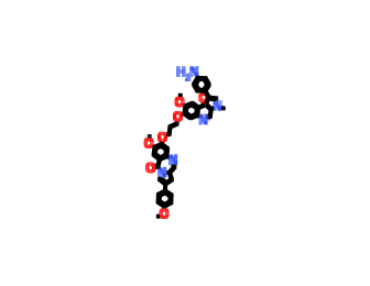 COc1ccc(C2=CN3C(=O)c4cc(OC)c(OCCCOc5cc(/N=C\C6CC(c7ccc(N)cc7)=CN6C)c(C=O)cc5OC)cc4N=CC3C2)cc1